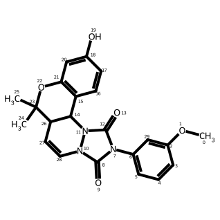 COc1cccc(-n2c(=O)n3n(c2=O)C2c4ccc(O)cc4OC(C)(C)C2C=C3)c1